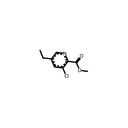 CCc1cnc(C(=O)OC)c(Cl)c1